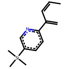 C=C(/C=C\C)c1ccc([Si](C)(C)C)cn1